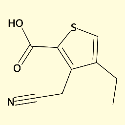 CCc1csc(C(=O)O)c1CC#N